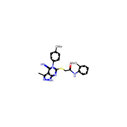 COc1ccc(-n2c(SCC(=O)Nc3ccccc3OC)nc3[nH]nc(C)c3c2=N)cc1